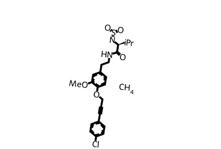 C.COc1cc(CCNC(=O)[C@@H](N=S(=O)=O)C(C)C)ccc1OCC#Cc1ccc(Cl)cc1